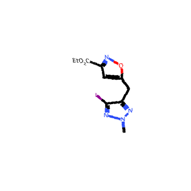 CCOC(=O)c1cc(Cc2nn(C)nc2I)on1